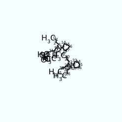 CCCC[N+](CCCC)(CCCC)C1CCCCC1.CCCC[N+](CCCC)(CCCC)C1CCCCC1.O=S(=O)([O-])[O-]